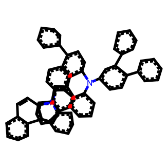 C1=CC2C(c3ccccc31)c1ccccc1N2c1ccccc1-c1ccccc1N(c1ccc(-c2ccccc2)c(-c2ccccc2)c1)c1ccc(-c2ccccc2)cc1-c1ccc2ccccc2c1